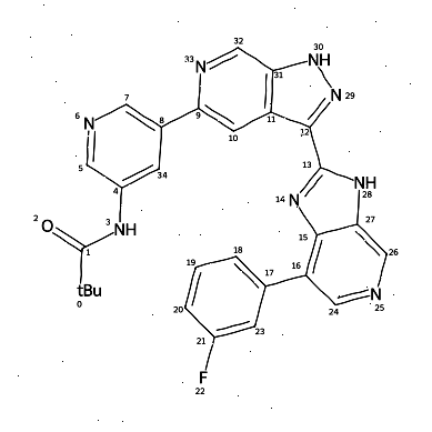 CC(C)(C)C(=O)Nc1cncc(-c2cc3c(-c4nc5c(-c6cccc(F)c6)cncc5[nH]4)n[nH]c3cn2)c1